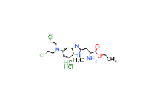 CCOC(=O)C(N)Cc1nc2cc(N(CCCl)CCCl)ccc2n1C.Cl.Cl